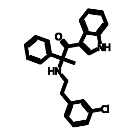 CC(NCCc1cccc(Cl)c1)(C(=O)c1c[nH]c2ccccc12)c1ccccc1